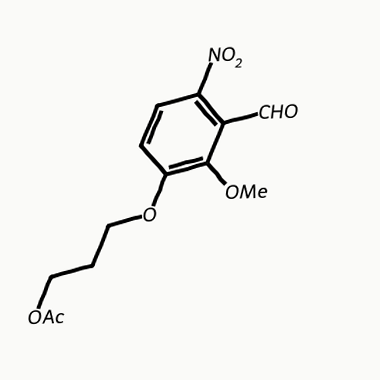 COc1c(OCCCOC(C)=O)ccc([N+](=O)[O-])c1C=O